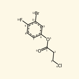 O=C(CCCl)Oc1ccc(F)c(Br)c1